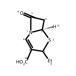 CCC1S[C@@H]2CC(=O)N2C=C1C(=O)O